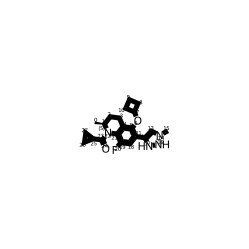 C[C@H]1CCc2c(OC3CCC3)c(C3=CN(C)NN3)cc(F)c2N1C(=O)C1CC1